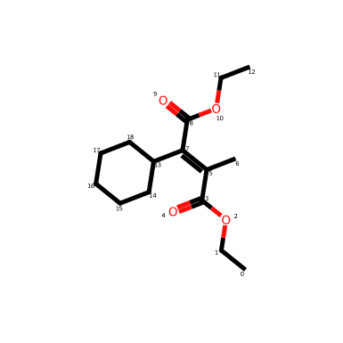 CCOC(=O)C(C)=C(C(=O)OCC)C1CCCCC1